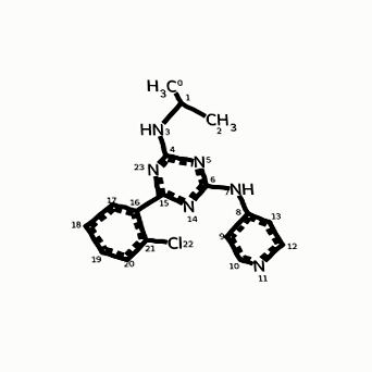 CC(C)Nc1nc(Nc2ccncc2)nc(-c2ccccc2Cl)n1